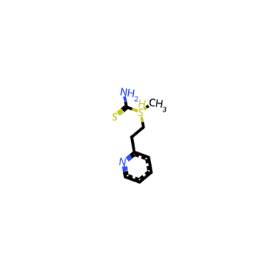 C[SH](CCc1ccccn1)C(N)=S